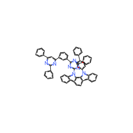 c1ccc(-c2ccc(-n3c4ccccc4c4ccc5c6ccccc6n(-c6nc(-c7ccccc7)nc(-c7cccc(-c8cc(-c9ccccc9)nc(-c9ccccc9)n8)c7)n6)c5c43)cc2)cc1